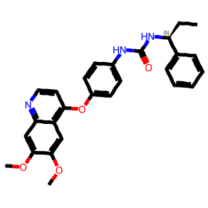 CC[C@H](NC(=O)Nc1ccc(Oc2ccnc3cc(OC)c(OC)cc23)cc1)c1ccccc1